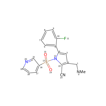 CNCc1cc(-c2ccccc2F)n(S(=O)(=O)c2cccnc2)c1C#N